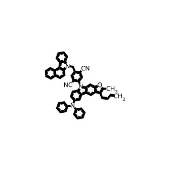 C=C/C=C\c1c(C)oc2cc3c(cc12)c1cc(N(c2ccccc2)c2ccccc2)ccc1n3-c1cc(C#N)c(Cn2c3ccccc3c3c4ccccc4ccc32)cc1C#N